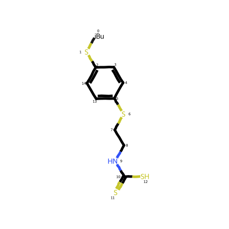 CCC(C)Sc1ccc(SCCNC(=S)S)cc1